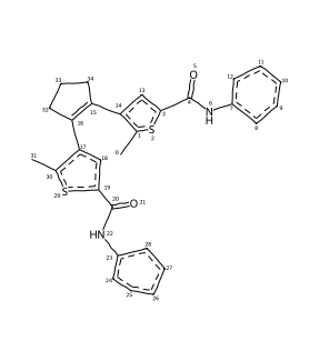 Cc1sc(C(=O)Nc2ccccc2)cc1C1=C(c2cc(C(=O)Nc3ccccc3)sc2C)CCC1